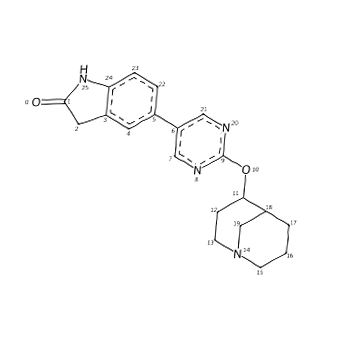 O=C1Cc2cc(-c3cnc(OC4CCN5CCCC4C5)nc3)ccc2N1